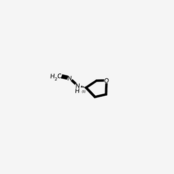 C=NN[C@H]1CCOC1